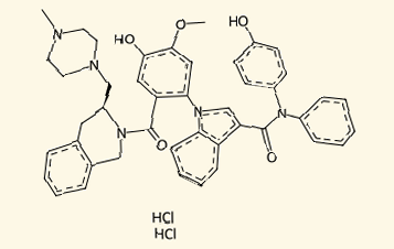 COc1cc(-n2cc(C(=O)N(c3ccccc3)c3ccc(O)cc3)c3ccccc32)c(C(=O)N2Cc3ccccc3C[C@H]2CN2CCN(C)CC2)cc1O.Cl.Cl